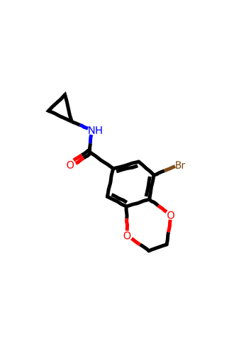 O=C(NC1CC1)c1cc(Br)c2c(c1)OCCO2